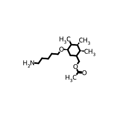 CC(=O)OCC1C[C@@H](OCCCCCN)C(C)[C@@H](C)[C@H]1C